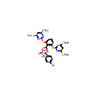 COc1cc(OC)nc(Oc2cccc(Oc3nc(OC)cc(OC)n3)c2C(=O)OC(c2ccc(Br)cc2)P(=O)(OC)OC)n1